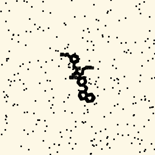 COCCN(C(=O)NCc1cccc(OC)c1)C1(C=O)CCN(Cc2cccc3ccccc23)CC1